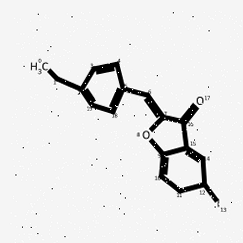 CCc1ccc(/C=C2\OC3=CCC(I)C=C3C2=O)cc1